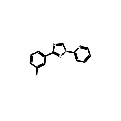 Clc1cccc(-c2ncn(-c3ccccn3)n2)c1